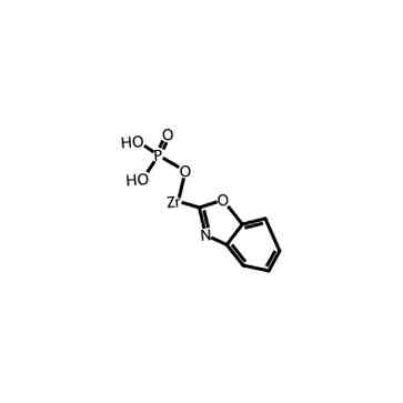 O=P(O)(O)[O][Zr][c]1nc2ccccc2o1